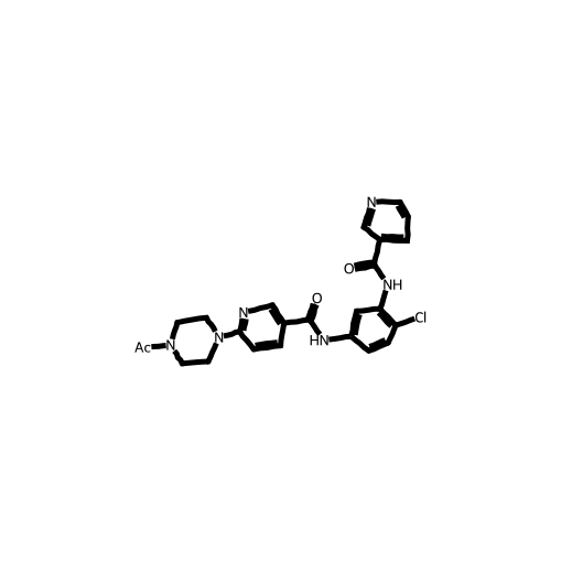 CC(=O)N1CCN(c2ccc(C(=O)Nc3ccc(Cl)c(NC(=O)c4cccnc4)c3)cn2)CC1